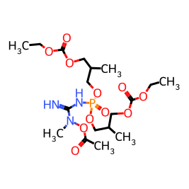 CCOC(=O)OCC(C)COP(=O)(NC(=N)N(C)OC(C)=O)OCC(C)COC(=O)OCC